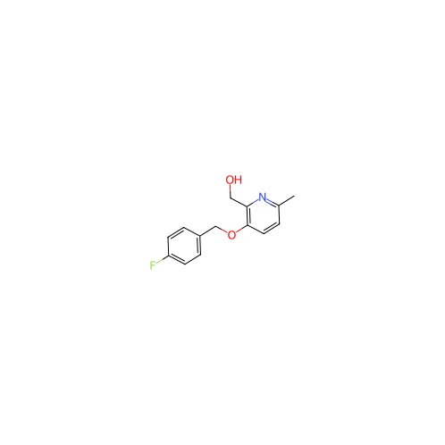 Cc1ccc(OCc2ccc(F)cc2)c(CO)n1